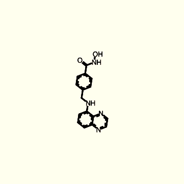 O=C(NO)c1ccc(CNc2cccc3nccnc23)cc1